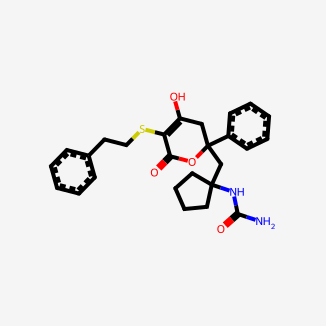 NC(=O)NC1(CC2(c3ccccc3)CC(O)=C(SCCc3ccccc3)C(=O)O2)CCCC1